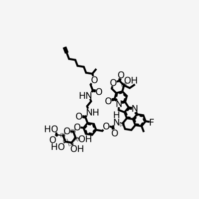 C#CCCCCCC(C)OCC(=O)NCCNC(=O)c1cc(COC(=O)N[C@H]2CCc3c(C)c(F)cc4nc5c(c2c34)Cn2c-5cc3c(c2=O)COC(=O)[C@]3(O)CC)ccc1O[C@@H]1O[C@H](C(=O)O)[C@@H](O)[C@H](O)[C@H]1O